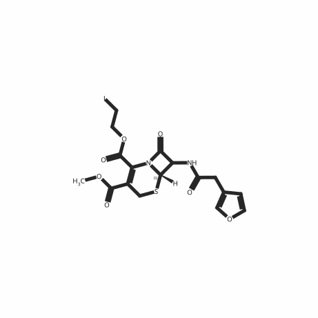 COC(=O)C1=C(C(=O)OCCI)N2C(=O)C(NC(=O)Cc3ccoc3)[C@@H]2SC1